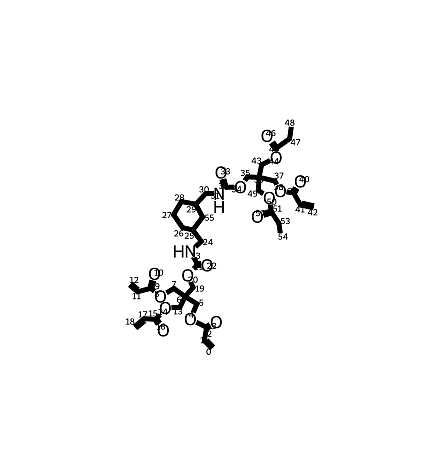 C=CC(=O)OCC(COC(=O)C=C)(COC(=O)C=C)COC(=O)NCC1CCCC(CNC(=O)OCC(COC(=O)C=C)(COC(=O)CC)COC(=O)CC)C1